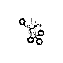 C[C@@H](O)[C@H](CNC(c1ccccc1)(c1ccccc1)c1ccccc1)C(=O)OCc1ccccc1